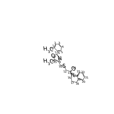 Cc1ccccc1-c1nc(CSCC(=O)N2CCCc3ccccc32)c(C)o1